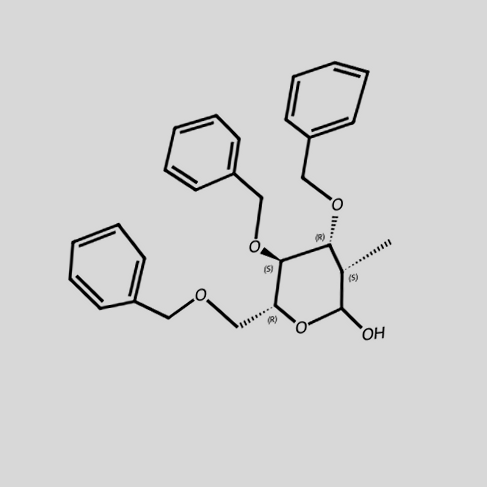 C[C@@H]1C(O)O[C@H](COCc2ccccc2)[C@@H](OCc2ccccc2)[C@@H]1OCc1ccccc1